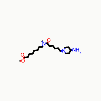 COC(=O)CCCCCCCN(C)C(=O)CCCCCN1CCC(N)CC1